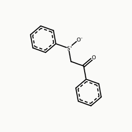 O=C(C[S+]([O-])c1ccccc1)c1ccccc1